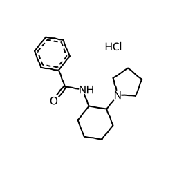 Cl.O=C(NC1CCCCC1N1CCCC1)c1ccccc1